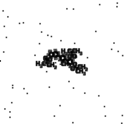 C=C(C)C(=O)Oc1ccc(-c2ccc(-c3ccc4c(c3)C(OC(=O)C(=C)C)CC4)cc2C)c(OC(=O)C(=C)C)c1